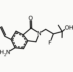 C=Cc1cc2c(cc1N)CN(CC(F)C(C)(C)O)C2=O